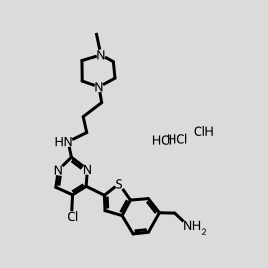 CN1CCN(CCCNc2ncc(Cl)c(-c3cc4ccc(CN)cc4s3)n2)CC1.Cl.Cl.Cl